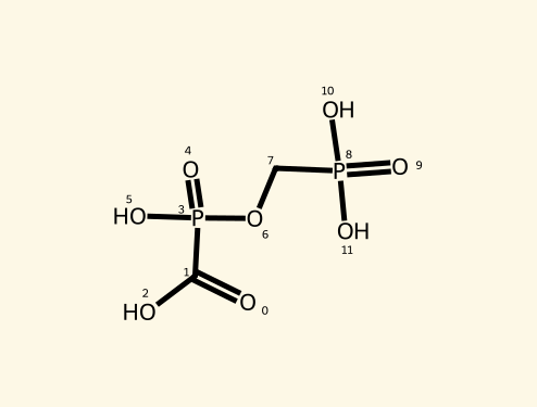 O=C(O)P(=O)(O)OCP(=O)(O)O